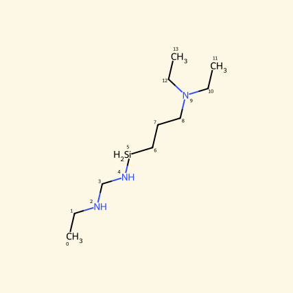 CCNCN[SiH2]CCCN(CC)CC